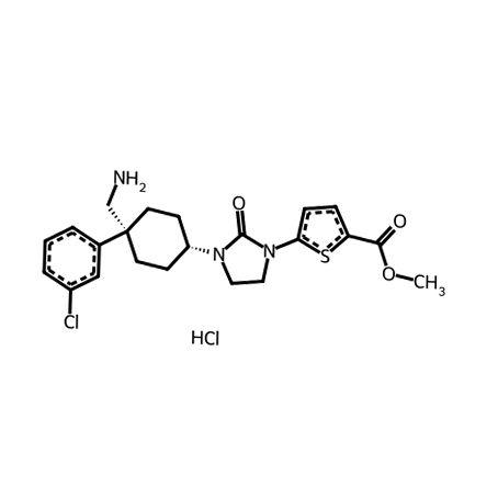 COC(=O)c1ccc(N2CCN([C@H]3CC[C@](CN)(c4cccc(Cl)c4)CC3)C2=O)s1.Cl